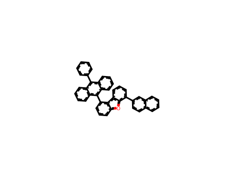 c1ccc(-c2c3ccccc3c(-c3cccc4oc5c(-c6ccc7ccccc7c6)cccc5c34)c3ccccc23)cc1